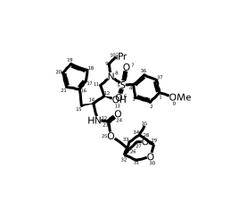 COc1ccc(S(=O)(=O)N(CC(C)C)C[C@@H](O)[C@H](Cc2ccccc2)NC(=O)OC2COC3OCC2CC3C)cc1